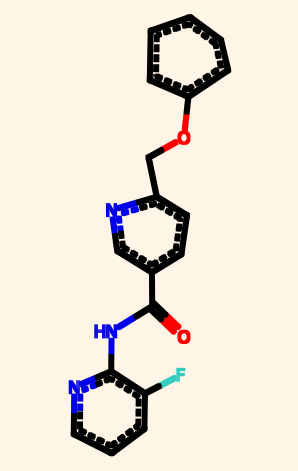 O=C(Nc1ncccc1F)c1ccc(COc2ccccc2)nc1